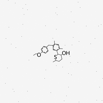 CCOc1ccc(Cc2cc(C3SC(C)CCC3O)c(C)cc2C)cc1